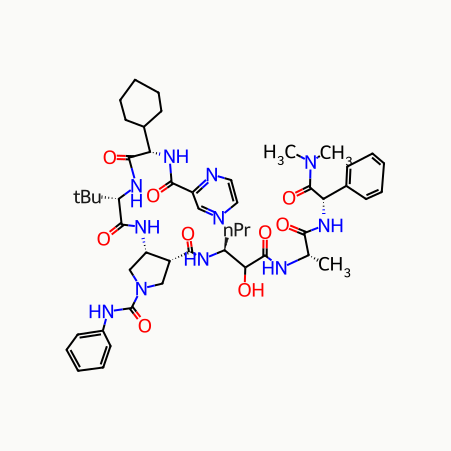 CCC[C@H](NC(=O)[C@@H]1CN(C(=O)Nc2ccccc2)C[C@@H]1NC(=O)[C@@H](NC(=O)[C@@H](NC(=O)c1cnccn1)C1CCCCC1)C(C)(C)C)C(O)C(=O)N[C@@H](C)C(=O)N[C@H](C(=O)N(C)C)c1ccccc1